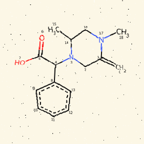 C=C1CN(C(C(=O)O)c2ccccc2)C(C)CN1C